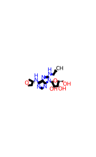 C#CCNc1nc2c(N[C@@H]3CCOC3)ncnc2n1[C@@H]1O[C@H](CO)[C@@H](O)[C@H]1O